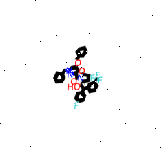 O=C(c1nn(Cc2ccccc2)cc(OCc2ccccc2)c1=O)N1CCC[C@@H]1C(O)C(c1ccc(F)cc1)c1cccc(C(F)(F)F)c1